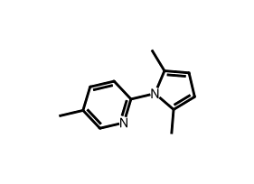 Cc1ccc(-n2c(C)ccc2C)nc1